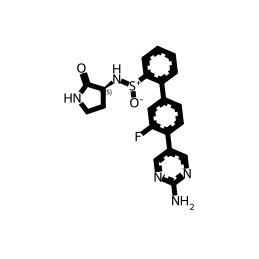 Nc1ncc(-c2ccc(-c3ccccc3[S+]([O-])N[C@H]3CCNC3=O)cc2F)cn1